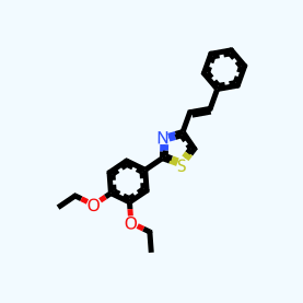 CCOc1ccc(-c2nc(/C=C/c3ccccc3)cs2)cc1OCC